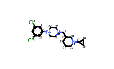 Clc1cc(Cl)cc(N2CCN(CC3CCCN(C4CC4)C3)CC2)c1